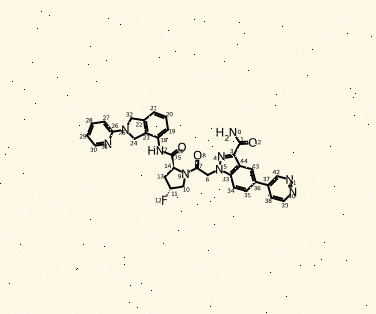 NC(=O)c1nn(CC(=O)N2C[C@H](F)C[C@H]2C(=O)Nc2cccc3c2CN(c2ccccn2)C3)c2ccc(-c3ccnnc3)cc12